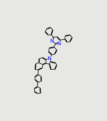 c1ccc(-c2ccc(-c3ccc4ccc5c(c4c3)c3ccccc3n5-c3ccc(-c4nc(-c5ccccc5)cc(-c5ccccc5)n4)cc3)cc2)cc1